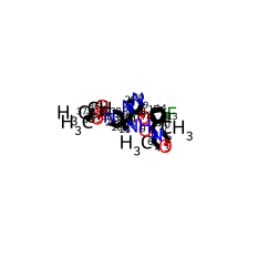 C[C@@H]1COC[C@@H](C)N1C(=O)c1cc(F)ccc1Oc1cncnc1C1NCC12CCN(C(=O)OC(C)(C)C)CC2